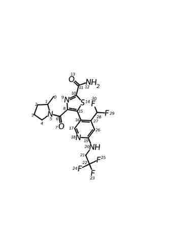 CC1CCCN1C(=O)c1nc(C(N)=O)sc1-c1cnc(NCC(F)(F)F)cc1C(F)F